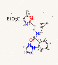 CCOC(=O)c1nc(CCN(CC2CC2)C(=O)c2ccccc2-n2nccn2)oc1C